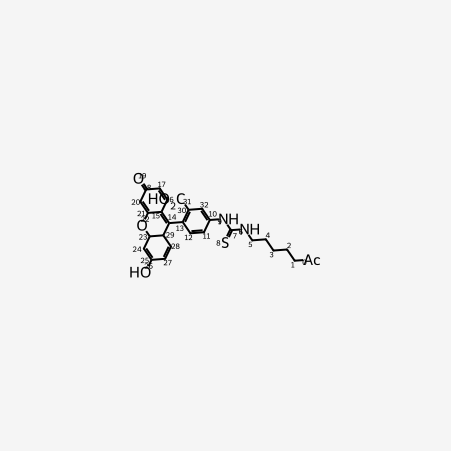 CC(=O)CCCCCNC(=S)Nc1ccc(C2=C3C=CC(=O)C=C3OC3C=C(O)C=CC23)c(C(=O)O)c1